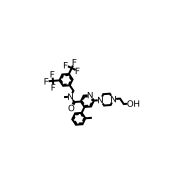 Cc1ccccc1-c1cc(N2CCN(CCO)CC2)ncc1C(=O)N(C)Cc1cc(C(F)(F)F)cc(C(F)(F)F)c1